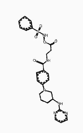 O=C(CCNC(=O)c1ccc(N2CCCC(Nc3ncccn3)C2)cc1)ONS(=O)(=O)c1ccccc1